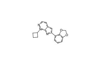 c1cc2c(c(-c3cc4ccnn(C5CCC5)c-4n3)c1)OCO2